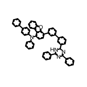 c1ccc(C2=NC(c3cccc(-c4cccc(-c5ccc(N(c6ccccc6)c6ccc(-c7ccccc7)cc6)c6c5oc5ccccc56)c4)c3)NC(c3ccccc3)=N2)cc1